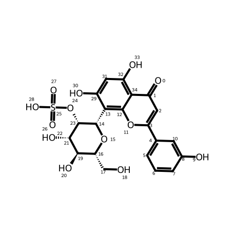 O=c1cc(-c2cccc(O)c2)oc2c([C@@H]3O[C@H](CO)[C@@H](O)[C@H](O)[C@@H]3OS(=O)(=O)O)c(O)cc(O)c12